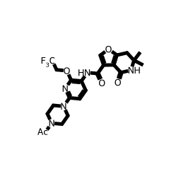 CC(=O)N1CCN(c2ccc(NC(=O)c3coc4c3C(=O)NC(C)(C)C4)c(OCC(F)(F)F)n2)CC1